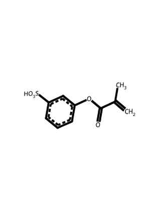 C=C(C)C(=O)Oc1cccc(S(=O)(=O)O)c1